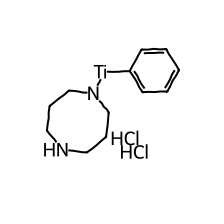 Cl.Cl.c1cc[c]([Ti][N]2CCCNCCC2)cc1